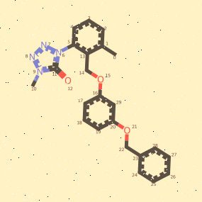 Cc1cccc(-n2nnn(C)c2=O)c1COc1cccc(OCc2ccccc2)c1